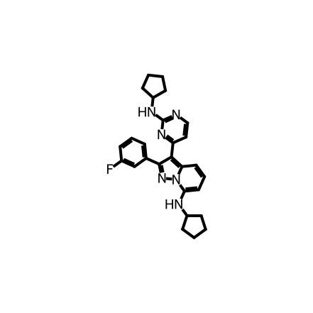 Fc1cccc(-c2nn3c(NC4CCCC4)cccc3c2-c2ccnc(NC3CCCC3)n2)c1